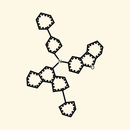 c1ccc(-c2ccc(N(c3ccc4oc5ccccc5c4c3)c3cc4ccccc4c4cc(-c5ccccc5)ccc34)cc2)cc1